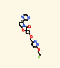 O=C1N2C(CC[C@H]2c2cnccn2)OC12CC(OCc1ccc(OCCF)nn1)C2